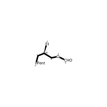 CCCCCC[C@@H](CC)COC=O